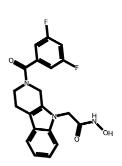 O=C(Cn1c2c(c3ccccc31)CCN(C(=O)c1cc(F)cc(F)c1)C2)NO